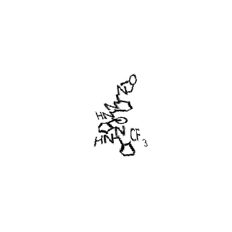 O=C(Nc1cccc(CN2CCOCC2)n1)c1cccc2[nH]c(-c3ccccc3C(F)(F)F)nc12